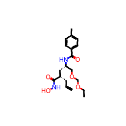 C=CC[C@@H](C[C@@H](COCOCC)NC(=O)c1ccc(C)cc1)C(=O)NO